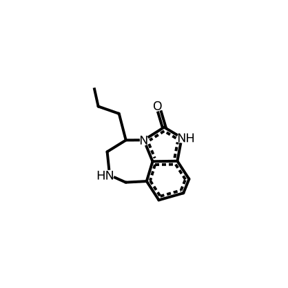 CCCC1CNCc2cccc3[nH]c(=O)n1c23